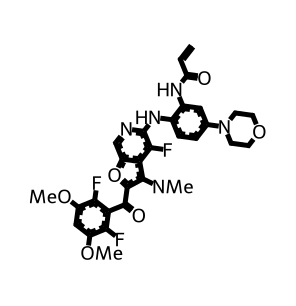 C=CC(=O)Nc1cc(N2CCOCC2)ccc1Nc1ncc2oc(C(=O)c3c(F)c(OC)cc(OC)c3F)c(NC)c2c1F